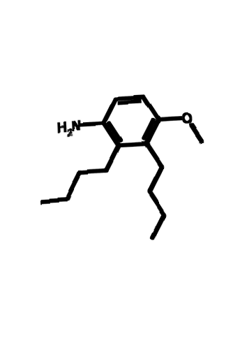 CCCCc1c(N)ccc(OC)c1CCCC